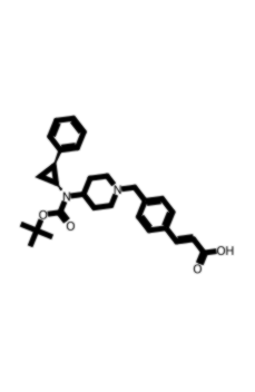 CC(C)(C)OC(=O)N(C1CCN(Cc2ccc(/C=C/C(=O)O)cc2)CC1)[C@@H]1C[C@H]1c1ccccc1